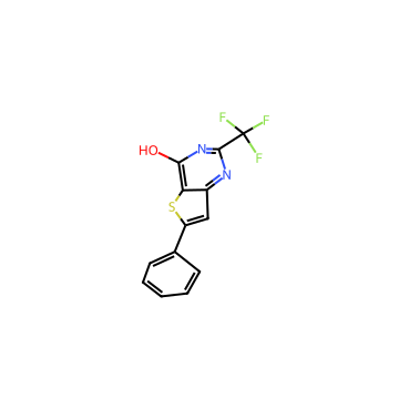 Oc1nc(C(F)(F)F)nc2cc(-c3ccccc3)sc12